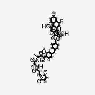 COc1cc(Cc2ccc([C@@H]3O[C@@H]4C[C@H]5[C@@H]6C[C@H](F)C7=CC(=O)C=C[C@]7(C)[C@@]6(C)[C@@H](O)C[C@]5(C)[C@]4(C(=O)CO)O3)cc2)ccc1N(C)C(=O)[C@H](C)NC(=O)[C@H](C)NC(=O)CCN1C(=O)C=CC1=O